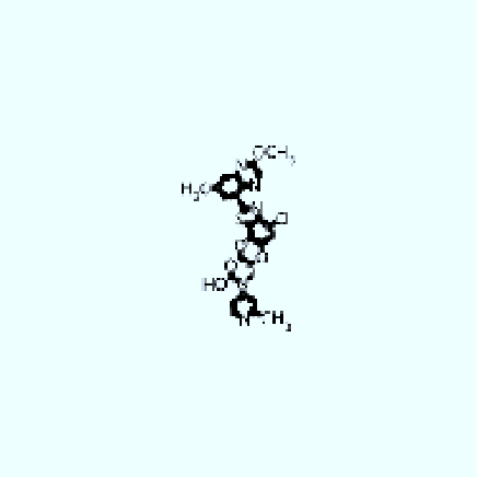 COc1cnc2c(-c3nc4c(Cl)cc5c(c4s3)OC[C@@H](CN(C(=O)O)c3ccnc(C)c3)O5)cc(C)cc2n1